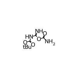 CC(C)(C)OC(=O)NC(=N)OC(N)=O